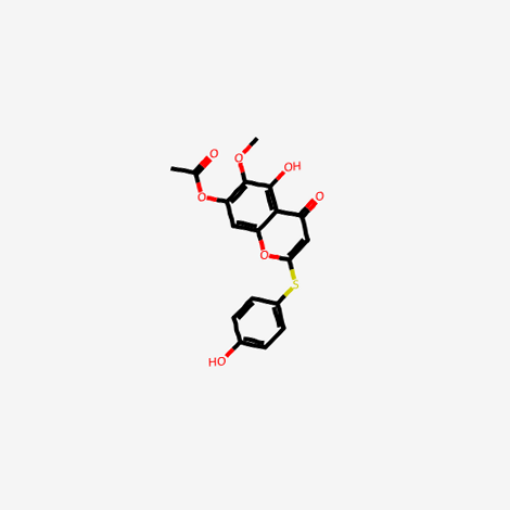 COc1c(OC(C)=O)cc2oc(Sc3ccc(O)cc3)cc(=O)c2c1O